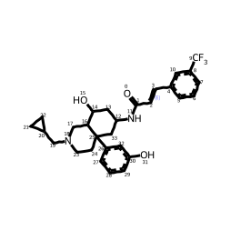 O=C(/C=C/c1cccc(C(F)(F)F)c1)NC1CC(O)C2CN(CC3CC3)CCC2(c2cccc(O)c2)C1